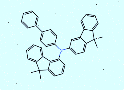 CC1(C)c2ccccc2-c2cc(N(c3ccc(-c4ccccc4)cc3)c3cccc4c3-c3ccccc3C4(C)C)ccc21